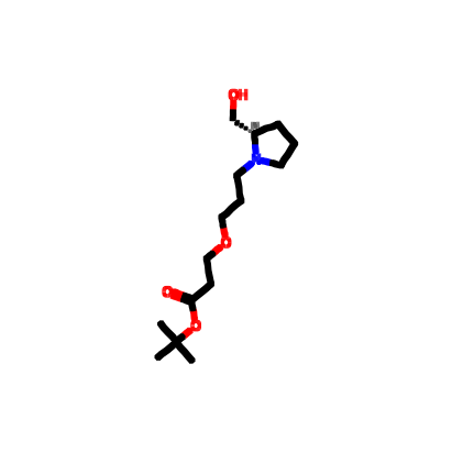 CC(C)(C)OC(=O)CCOCCCN1CCC[C@H]1CO